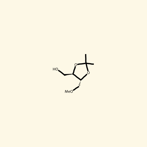 COC[C@H]1OC(C)(C)O[C@@H]1CO